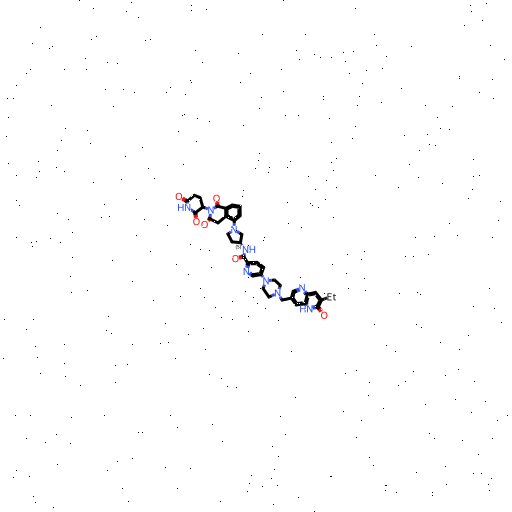 CCc1cc2ncc(CN3CCN(c4ccc(C(=O)N[C@H]5CCN(c6cccc7c6CC(=O)N(C6CCC(=O)NC6=O)C7=O)C5)nc4)CC3)cc2[nH]c1=O